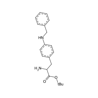 CC(C)(C)OC(=O)C(N)Cc1ccc(NCc2ccccc2)cc1